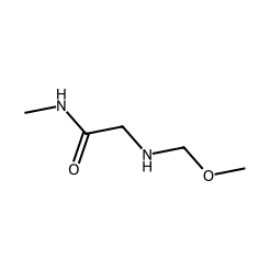 CNC(=O)CNCOC